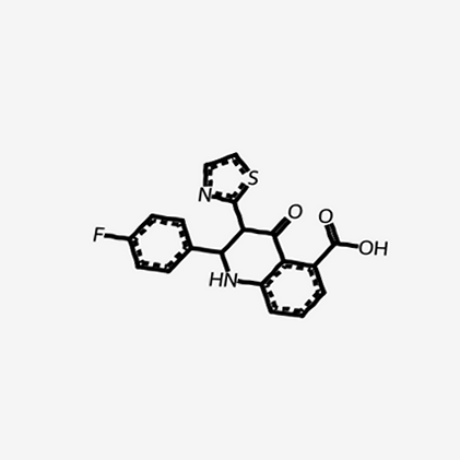 O=C(O)c1cccc2c1C(=O)C(c1nccs1)C(c1ccc(F)cc1)N2